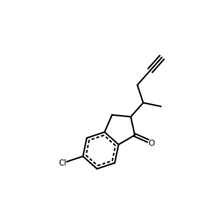 C#CCC(C)C1Cc2cc(Cl)ccc2C1=O